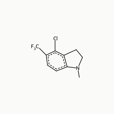 CN1CCc2c1ccc(C(F)(F)F)c2Cl